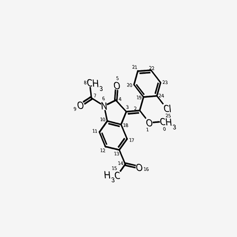 COC(=C1C(=O)N(C(C)=O)c2ccc(C(C)=O)cc21)c1ccccc1Cl